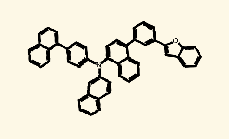 c1cc(-c2cc3ccccc3o2)cc(-c2ccc(N(c3ccc(-c4cccc5ccccc45)cc3)c3ccc4ccccc4c3)c3ccccc23)c1